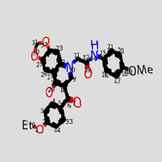 CCOc1ccc(C(=O)c2cn(CC(=O)Nc3ccc(OC)cc3)c3cc4c(cc3c2=O)OCO4)cc1